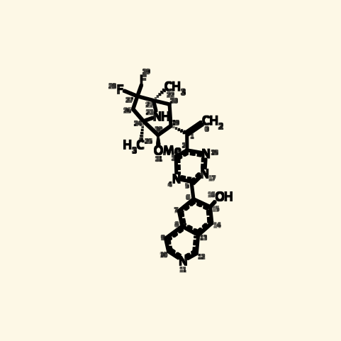 C=C(c1cnc(-c2cc3ccncc3cc2O)nn1)[C@H]1C[C@@]2(C)N[C@](C)(CC2(F)F)[C@@H]1OC